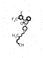 C#C/C=C\C=C(/C)CCCN1CCC(N(Cc2ccccc2)C(=O)Nc2cc(F)cc(C(F)(F)F)c2)CC1